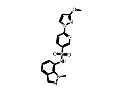 COc1ccn(-c2ccc(S(=O)(=O)Nc3cccc4cnn(C)c34)cn2)n1